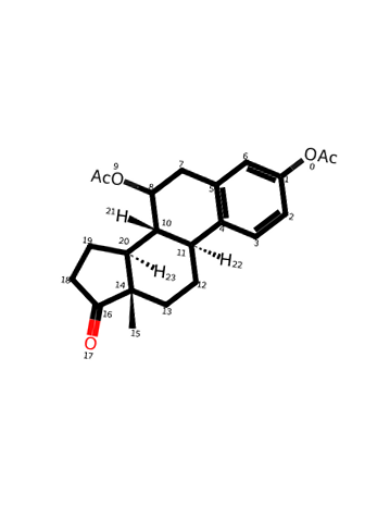 CC(=O)Oc1ccc2c(c1)CC(OC(C)=O)[C@@H]1[C@@H]2CC[C@]2(C)C(=O)CC[C@@H]12